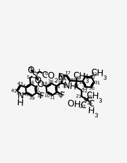 CCOC(=O)CS(=O)(=O)Cc1c(Oc2ccc(F)c(-c3ncc(C(C)(CCCC(C)(C)C=O)c4cccc(C)c4)[nH]3)c2)c(F)cc2[nH]ccc12